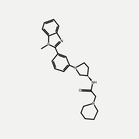 Cn1c(-c2cccc(N3CC[C@@H](NC(=O)CN4CCCCC4)C3)c2)nc2ccccc21